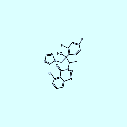 CC(n1nnc2cccc(Cl)c2c1=O)C(O)(Cn1cncn1)c1ccc(F)cc1F